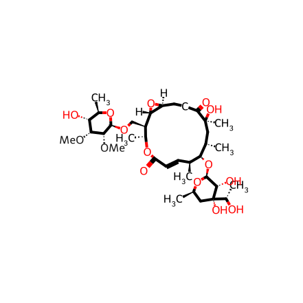 CO[C@@H]1[C@H](O)[C@@H](C)O[C@@H](OC[C@H]2[C@@H]3O[C@H]3CCC(=O)[C@@](C)(O)C[C@H](C)[C@H](O[C@@H]3O[C@H](C)C[C@](O)([C@H](C)O)[C@H]3O)[C@@H](C)/C=C/C(=O)O[C@@H]2C)[C@@H]1OC